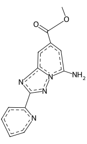 COC(=O)c1cc(N)n2nc(-c3ccccn3)nc2c1